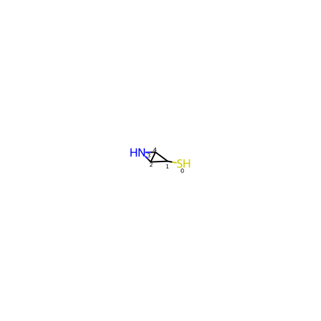 SC1C2NC12